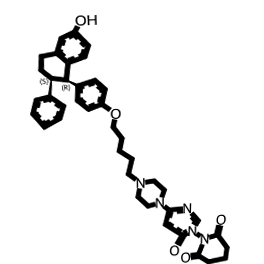 O=C1CCCC(=O)N1n1cnc(N2CCN(CCCCCOc3ccc([C@@H]4c5ccc(O)cc5CC[C@@H]4c4ccccc4)cc3)CC2)cc1=O